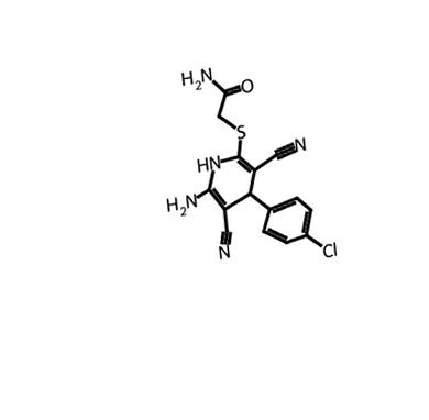 N#CC1=C(N)NC(SCC(N)=O)=C(C#N)C1c1ccc(Cl)cc1